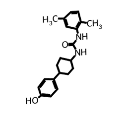 Cc1ccc(C)c(NC(=O)NC2CCC(c3ccc(O)cc3)CC2)c1